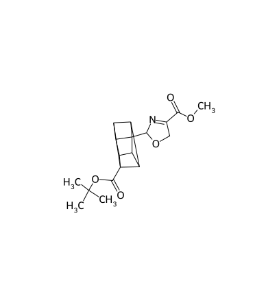 COC(=O)C1=NC(C23C4C5C2C2C3C4C52C(=O)OC(C)(C)C)OC1